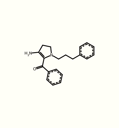 NC1=C(C(=O)c2ccccc2)N(CCCc2ccccc2)CC1